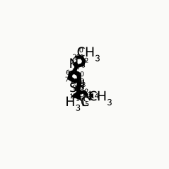 CC1CCC(c2ccc3sc(C4(CN(C)C)CC4)nc3c2)=NC1